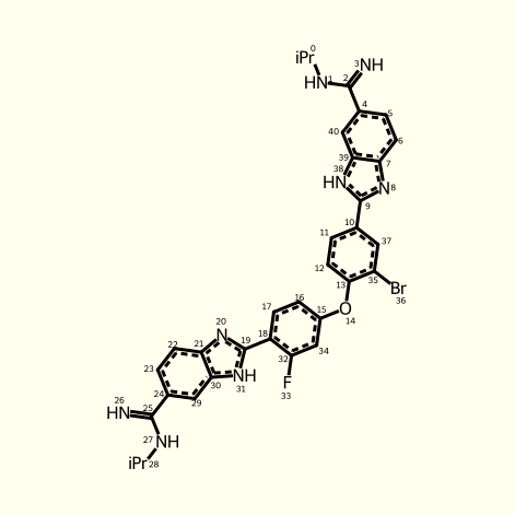 CC(C)NC(=N)c1ccc2nc(-c3ccc(Oc4ccc(-c5nc6ccc(C(=N)NC(C)C)cc6[nH]5)c(F)c4)c(Br)c3)[nH]c2c1